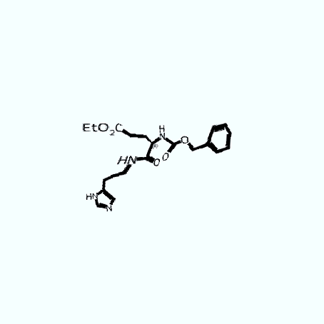 CCOC(=O)CC[C@@H](NC(=O)OCc1ccccc1)C(=O)NCCc1cnc[nH]1